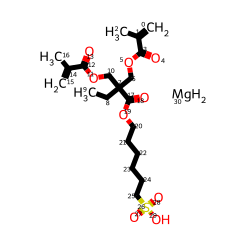 C=C(C)C(=O)OCC(CC)(COC(=O)C(=C)C)C(=O)OCCCCCCS(=O)(=O)O.[MgH2]